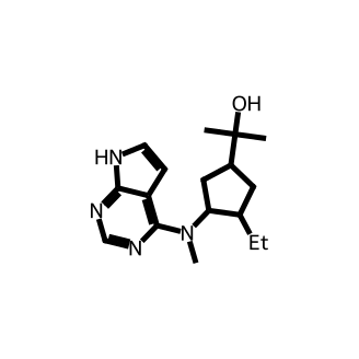 CCC1CC(C(C)(C)O)CC1N(C)c1ncnc2[nH]ccc12